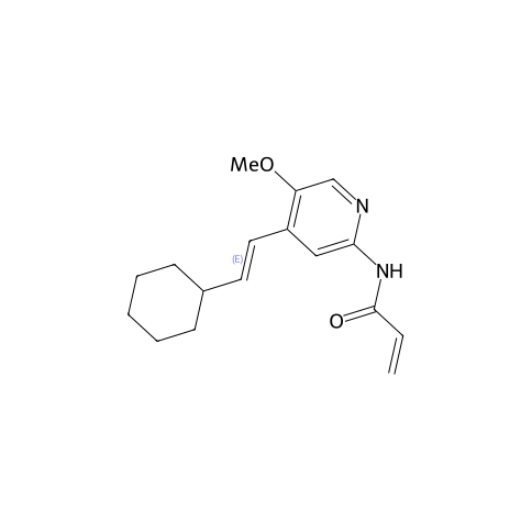 C=CC(=O)Nc1cc(/C=C/C2CCCCC2)c(OC)cn1